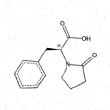 O=C(O)[C@H](Cc1ccccc1)N1CCCC1=O